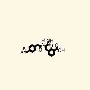 CN(C)Cc1ccc(CC(=O)N[C@H]2Cc3cccc(C(=O)O)c3OB2O)cc1